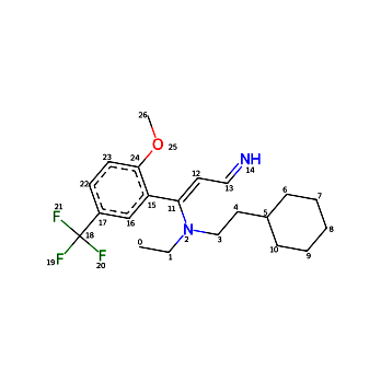 CCN(CCC1CCCCC1)/C(=C\C=N)c1cc(C(F)(F)F)ccc1OC